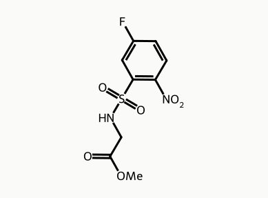 COC(=O)CNS(=O)(=O)c1cc(F)ccc1[N+](=O)[O-]